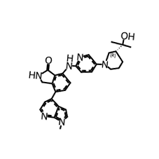 Cn1ccc2c(-c3ccc(Nc4ccc(N5CCC[C@@H](C(C)(C)O)C5)cn4)c4c3CNC4=O)ccnc21